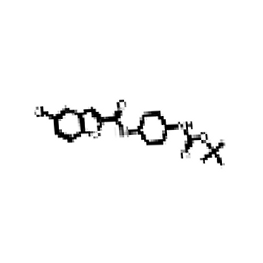 CC(C)(C)OC(=O)NC1CCC(NC(=O)c2cc3cc(Cl)ccc3o2)CC1